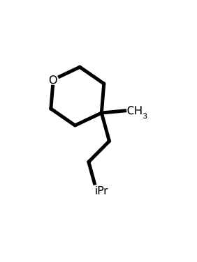 CC(C)CCC1(C)CCOCC1